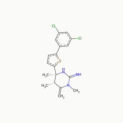 C=C1[C@H](C)[C@@](C)(c2ccc(-c3cc(Cl)cc(Cl)c3)s2)NC(=N)N1C